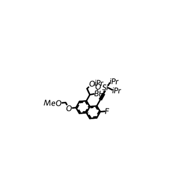 COCOc1cc(C2BOOC2)c2c(C#C[Si](C(C)C)(C(C)C)C(C)C)c(F)ccc2c1